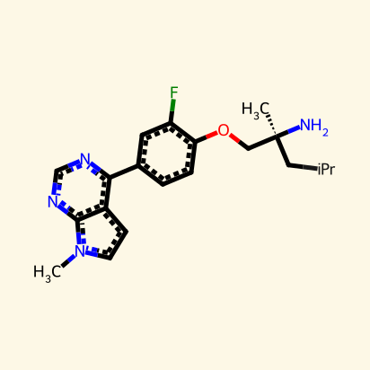 CC(C)C[C@](C)(N)COc1ccc(-c2ncnc3c2ccn3C)cc1F